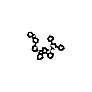 C1=Cc2c(sc3ccc(-c4cccc(-n5c6c(c7c8c9ccccc9n(-c9nc(-c%10ccccc%10)cc(-c%10ccccc%10)n9)c8ccc75)C=CCC6)n4)cc23)CC1